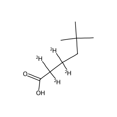 [2H]C([2H])(CC(C)(C)C)C([2H])([2H])C(=O)O